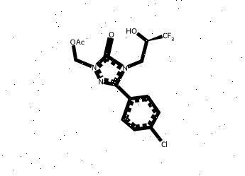 CC(=O)OCn1nc(-c2ccc(Cl)cc2)n(C[C@@H](O)C(F)(F)F)c1=O